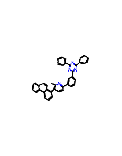 Cc1nc(-c2cccc(-c3nc(-c4ccccc4)nc(-c4ccccc4)n3)c2)ccc1-c1cccc2c1ccc1ccccc12